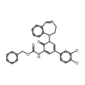 O=C(NC1=CC(c2ccc(Cl)c(Cl)c2)=CC(N2CCN=Cc3ccccc32)C1=O)OCc1ccccc1